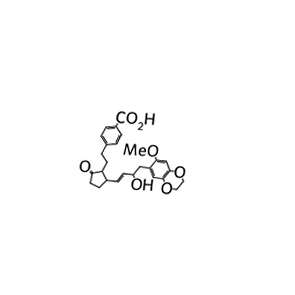 COc1cc2c(cc1CC(O)C=CC1CCC(=O)C1CCc1ccc(C(=O)O)cc1)OCCO2